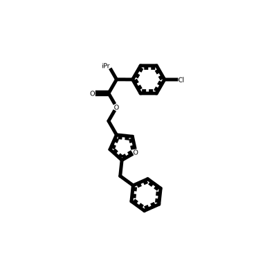 CC(C)C(C(=O)OCc1coc(Cc2ccccc2)c1)c1ccc(Cl)cc1